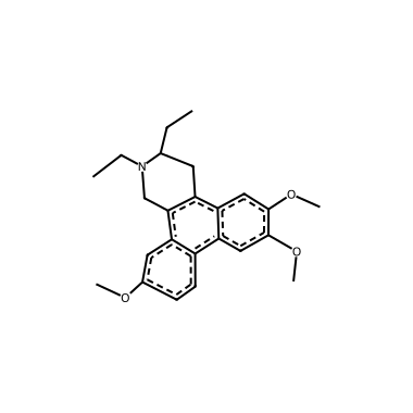 CCC1Cc2c(c3cc(OC)ccc3c3cc(OC)c(OC)cc23)CN1CC